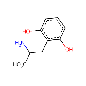 NC(Cc1c(O)cccc1O)C(=O)O